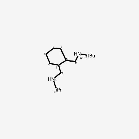 CC(C)NCC1CCCCC1CNC(C)(C)C